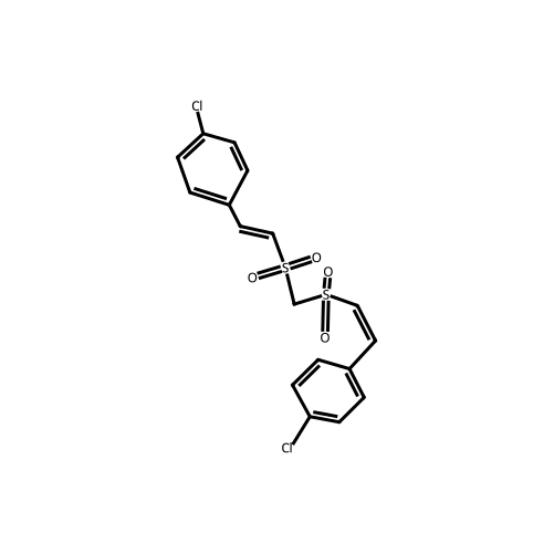 O=S(=O)(/C=C\c1ccc(Cl)cc1)CS(=O)(=O)/C=C/c1ccc(Cl)cc1